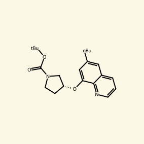 CCCCc1cc(O[C@@H]2CCN(C(=O)OC(C)(C)C)C2)c2ncccc2c1